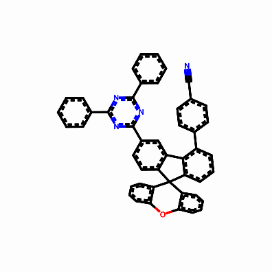 N#Cc1ccc(-c2cccc3c2-c2cc(-c4nc(-c5ccccc5)nc(-c5ccccc5)n4)ccc2C32c3ccccc3Oc3ccccc32)cc1